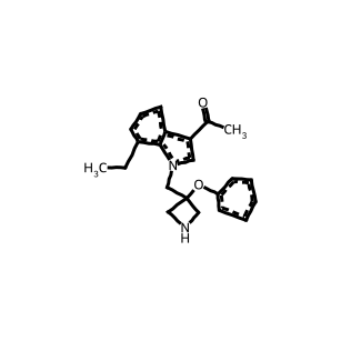 CCc1cccc2c(C(C)=O)cn(CC3(Oc4ccccc4)CNC3)c12